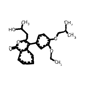 CCOc1cc(-c2c(CC(C)O)oc(=O)c3ccccc23)ccc1OCC(C)C